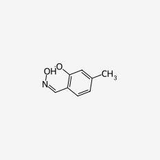 Cc1ccc(/C=N\O)c([O])c1